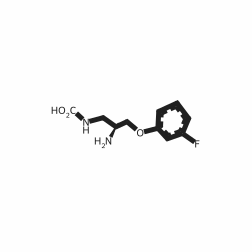 N[C@@H](CNC(=O)O)COc1cccc(F)c1